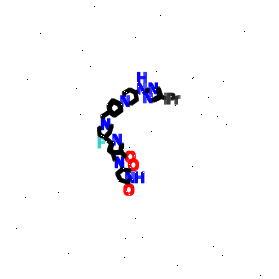 CC(C)c1cnc(NC2CCN(c3ccc(CN4CCC(F)(c5cc6c(cn5)C(=O)N(C5CCC(=O)NC5=O)C6)CC4)cc3)CC2)nc1